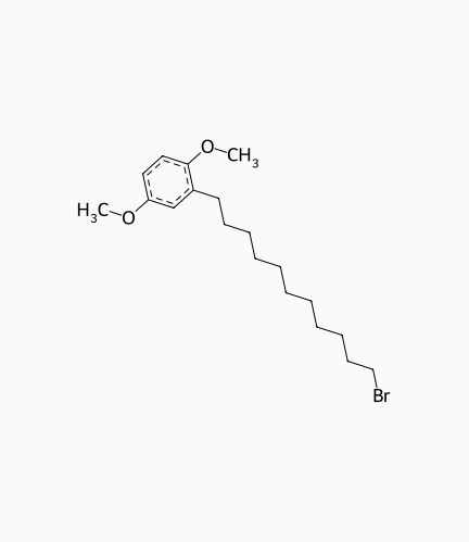 COc1ccc(OC)c(CCCCCCCCCCCBr)c1